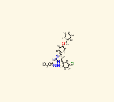 N=C(/C=C1/N=C(c2ccc(OCc3ccccc3)cc2)C=C(c2cccc(Cl)c2)N1)C(=O)O